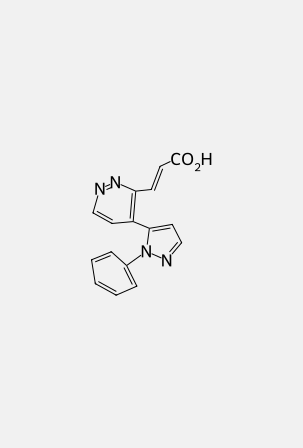 O=C(O)/C=C/c1nnccc1-c1ccnn1-c1ccccc1